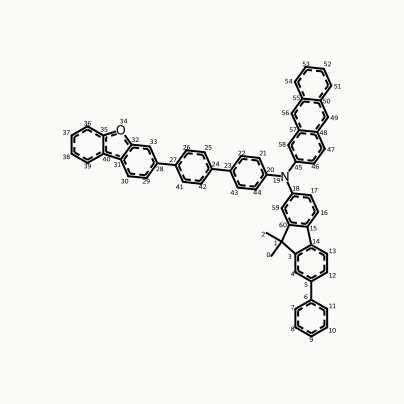 CC1(C)c2cc(-c3ccccc3)ccc2-c2ccc(N(c3ccc(-c4ccc(-c5ccc6c(c5)oc5ccccc56)cc4)cc3)c3ccc4cc5ccccc5cc4c3)cc21